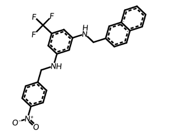 O=[N+]([O-])c1ccc(CNc2cc(NCc3ccc4ccccc4c3)cc(C(F)(F)F)c2)cc1